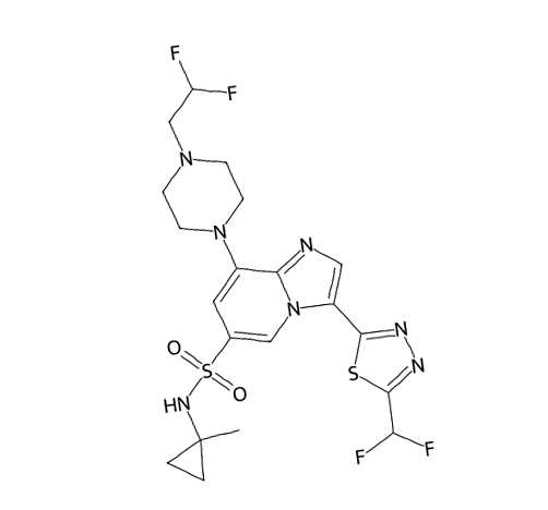 CC1(NS(=O)(=O)c2cc(N3CCN(CC(F)F)CC3)c3ncc(-c4nnc(C(F)F)s4)n3c2)CC1